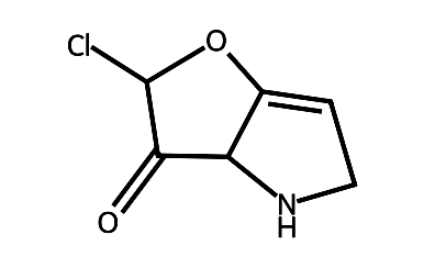 O=C1C(Cl)OC2=CCNC12